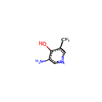 Cc1cncc(N)c1O